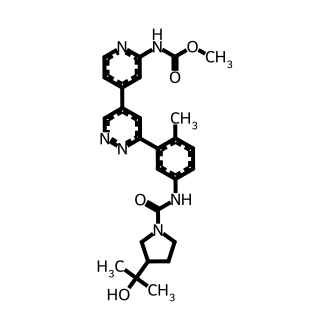 COC(=O)Nc1cc(-c2cnnc(-c3cc(NC(=O)N4CCC(C(C)(C)O)C4)ccc3C)c2)ccn1